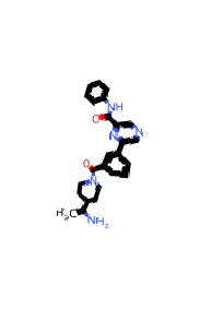 C=C(N)C1CCN(C(=O)c2cccc(-c3cncc(C(=O)Nc4ccccc4)n3)c2)CC1